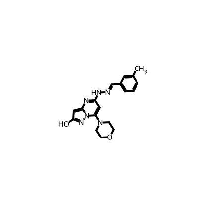 Cc1cccc(C=NNc2cc(N3CCOCC3)n3nc(O)cc3n2)c1